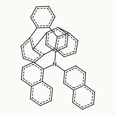 c1ccc2c(c1)-c1cccc3c1-c1cc(N(c4ccc5ccccc5c4)c4cccc5ccccc45)ccc1-c1cccc-3c1-2